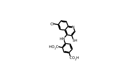 O=C(O)c1ccc(Nc2c(S)cnc3ccc(Cl)cc23)c(C(=O)O)c1